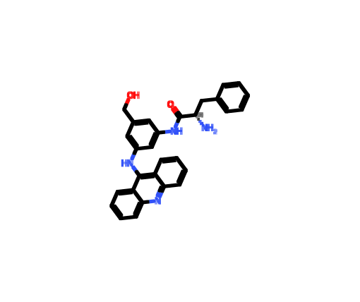 N[C@@H](Cc1ccccc1)C(=O)Nc1cc(CO)cc(Nc2c3ccccc3nc3ccccc23)c1